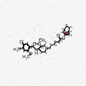 COc1cc(N)c(Cl)cc1C(=O)N[C@@H]1CCN(CCCCCC(=O)OC2CC3CCC(C2)N3C)C[C@@H]1OC